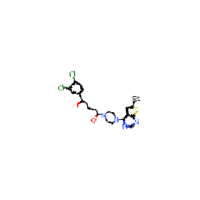 CCc1cc2c(N3CCN(C(=O)CCCC(=O)c4ccc(Cl)c(Cl)c4)CC3)ncnc2s1